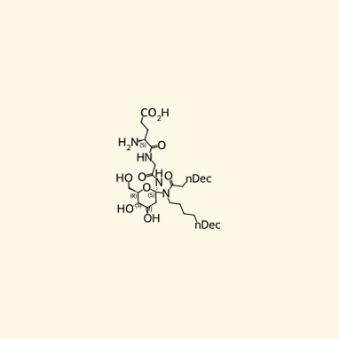 CCCCCCCCCCCCCCN(C(=O)CCCCCCCCCCC)[C@@]1(NC(=O)CNC(=O)[C@@H](N)CCC(=O)O)C[C@@H](O)[C@H](O)[C@@H](CO)O1